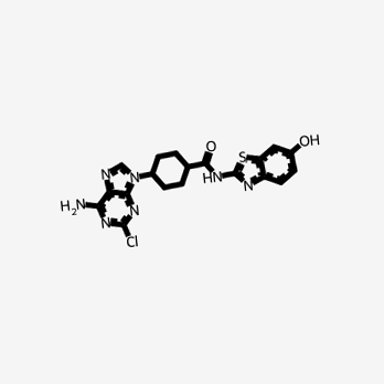 Nc1nc(Cl)nc2c1ncn2C1CCC(C(=O)Nc2nc3ccc(O)cc3s2)CC1